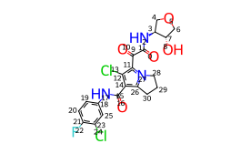 O=C(N[C@H]1COC[C@@H]1O)C(=O)c1c(Cl)c(C(=O)Nc2ccc(F)c(Cl)c2)c2n1CCC2